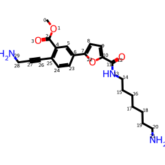 COC(=O)c1cc(-c2ccc(C(=O)NCCCCCCCN)o2)ccc1C#CCN